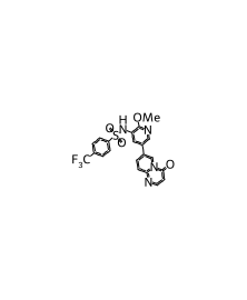 COc1ncc(-c2ccc3nccc(=O)n3c2)cc1NS(=O)(=O)c1ccc(C(F)(F)F)cc1